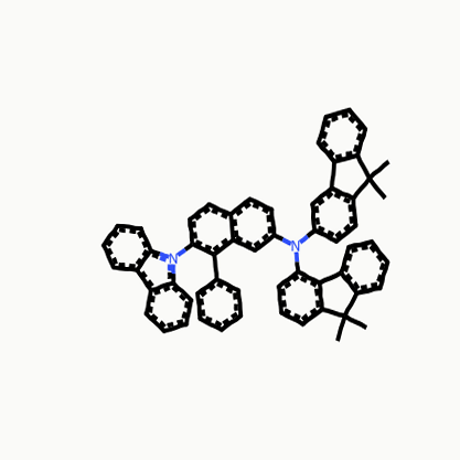 CC1(C)c2ccccc2-c2cc(N(c3ccc4ccc(-n5c6ccccc6c6ccccc65)c(-c5ccccc5)c4c3)c3cccc4c3-c3ccccc3C4(C)C)ccc21